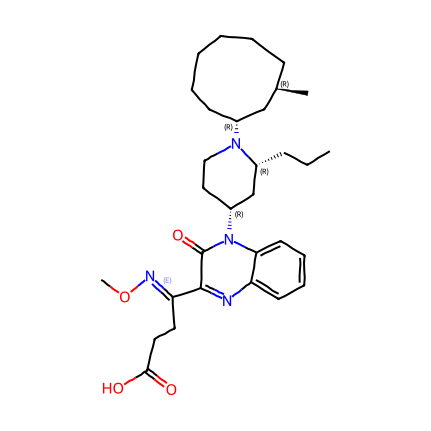 CCC[C@@H]1C[C@H](n2c(=O)c(/C(CCC(=O)O)=N/OC)nc3ccccc32)CCN1[C@@H]1CCCCCC[C@@H](C)C1